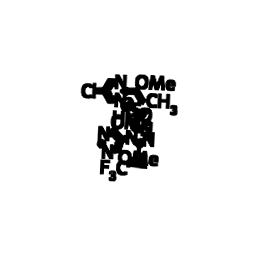 COc1ncnc(OC)c1-n1c(NS(=O)(=O)[C@@H](C)[C@H](OC)c2ncc(Cl)cn2)nnc1[C@H]1C[C@H]1C(F)(F)F